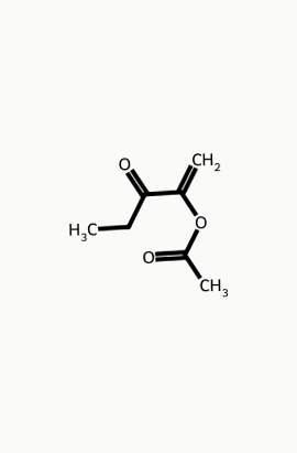 C=C(OC(C)=O)C(=O)CC